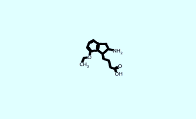 CCOc1cccc2c1C(CCCC(=O)O)C(N)C2